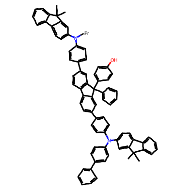 CC(C)N(c1ccc(-c2ccc3c(c2)C(c2ccccc2)(c2ccc(O)cc2)c2cc(-c4ccc(N(c5ccc(-c6ccccc6)cc5)c5ccc6c(c5)C(C)(C)c5ccccc5-6)cc4)ccc2-3)cc1)c1ccc2c(c1)C(C)(C)c1ccccc1-2